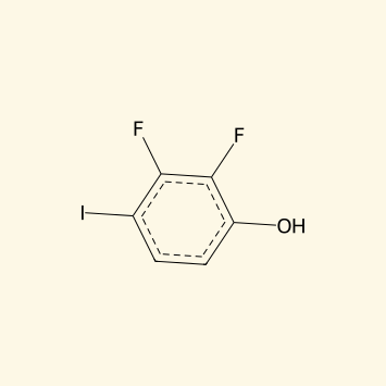 Oc1ccc(I)c(F)c1F